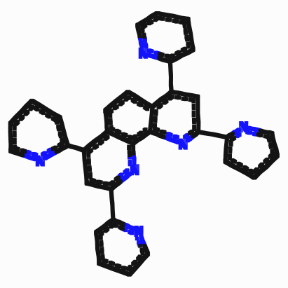 c1ccc(-c2cc(-c3ccccn3)c3ccc4c(-c5ccccn5)cc(-c5ccccn5)nc4c3n2)nc1